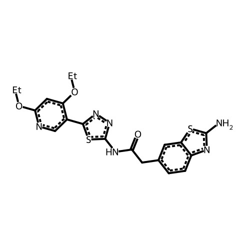 CCOc1cc(OCC)c(-c2nnc(NC(=O)Cc3ccc4nc(N)sc4c3)s2)cn1